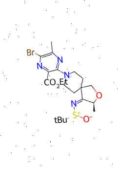 CCOC(=O)c1nc(Br)c(C)nc1N1CCC2(CC1)CO[C@@H](C)C2=N[S@+]([O-])C(C)(C)C